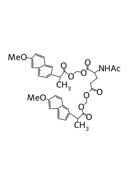 COc1ccc2cc(C(C)C(=O)OCOC(=O)CCC(NC(C)=O)C(=O)OCOC(=O)C(C)c3ccc4cc(OC)ccc4c3)ccc2c1